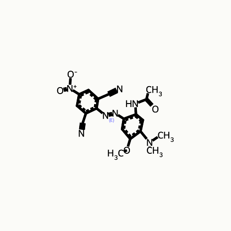 COc1cc(/N=N/c2c(C#N)cc([N+](=O)[O-])cc2C#N)c(NC(C)=O)cc1N(C)C